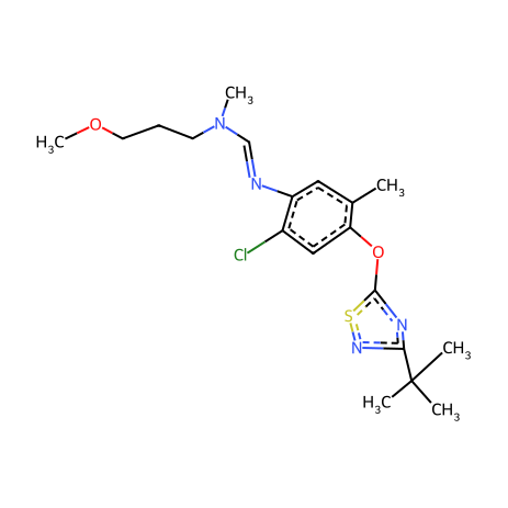 COCCCN(C)C=Nc1cc(C)c(Oc2nc(C(C)(C)C)ns2)cc1Cl